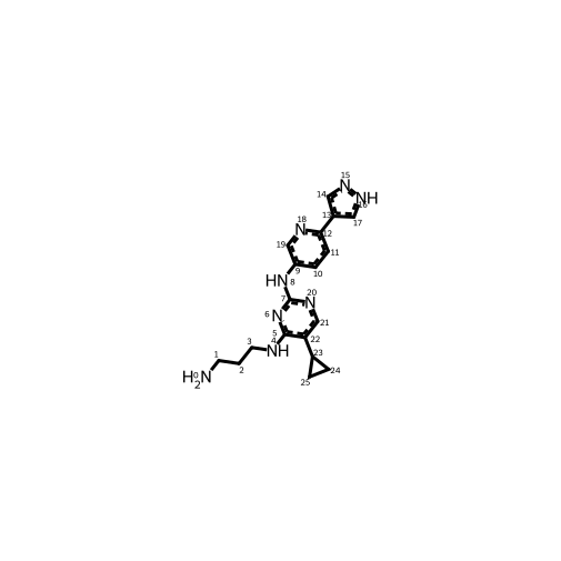 NCCCNc1nc(Nc2ccc(-c3cn[nH]c3)nc2)ncc1C1CC1